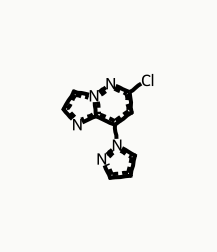 Clc1cc(-n2cccn2)c2nccn2n1